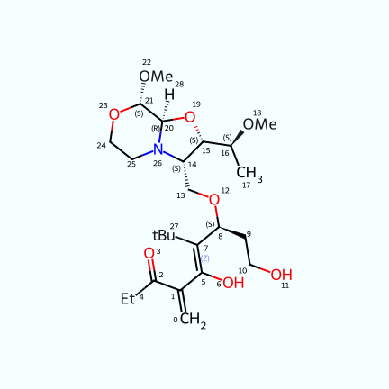 C=C(C(=O)CC)/C(O)=C(/[C@H](CCO)OC[C@H]1[C@@H]([C@H](C)OC)O[C@@H]2[C@@H](OC)OCCN21)C(C)(C)C